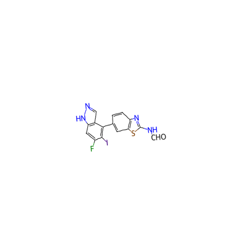 O=CNc1nc2ccc(-c3c(I)c(F)cc4[nH]ncc34)cc2s1